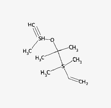 C#[SH](C)OC(C)(C)S(C)(C)C=C